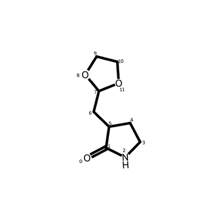 O=C1NCCC1CC1OCCO1